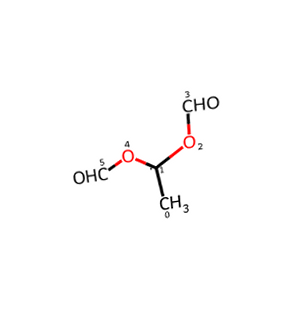 C[C](OC=O)OC=O